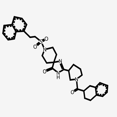 O=C(C1CCc2ccccc2C1)N1CCCC(C2=NC3(CCN(S(=O)(=O)CCc4cccc5ccccc45)CC3)C(=O)N2)C1